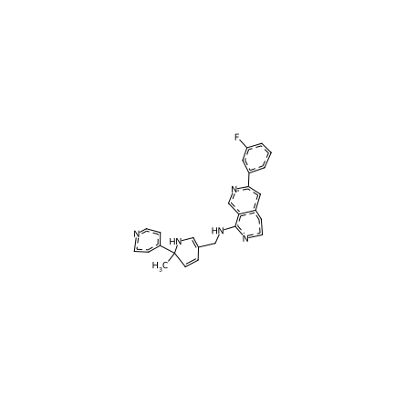 CC1(c2ccncc2)C=CC(CNc2nccc3cc(-c4cccc(F)c4)ncc23)=CN1